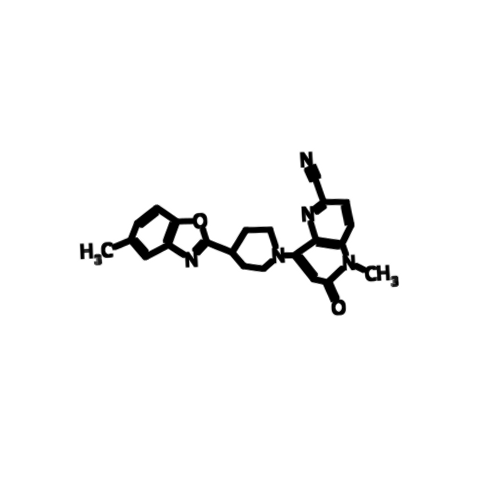 Cc1ccc2oc(C3CCN(c4cc(=O)n(C)c5ccc(C#N)nc45)CC3)nc2c1